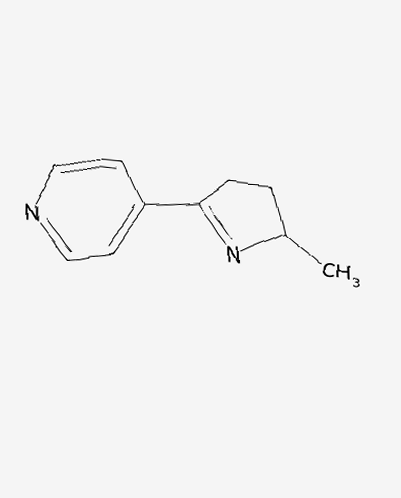 CC1CCC(c2ccncc2)=N1